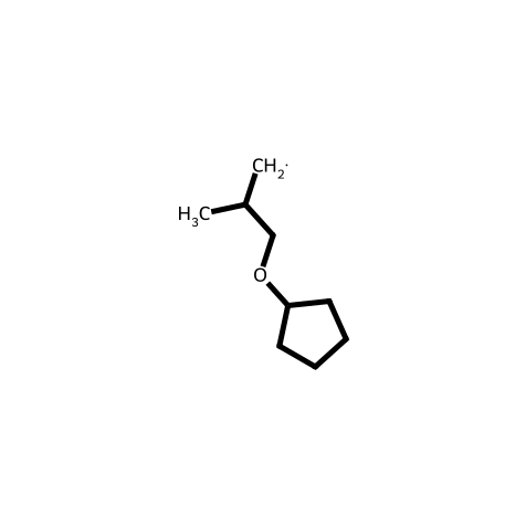 [CH2]C(C)COC1CCCC1